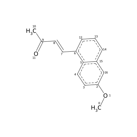 COc1ccc2c(C=CC(C)=O)cccc2c1